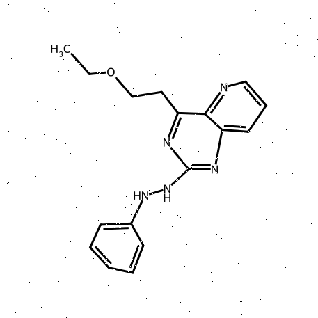 CCOCCc1nc(NNc2ccccc2)nc2cccnc12